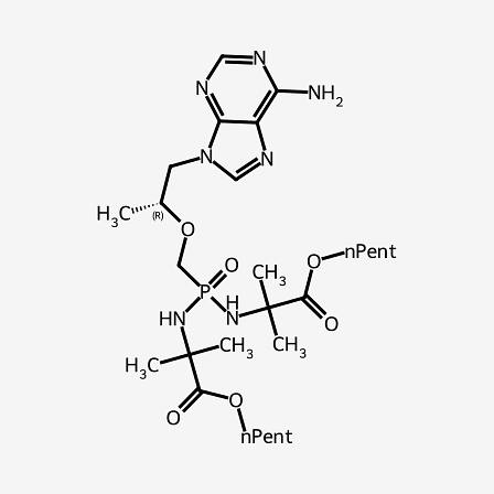 CCCCCOC(=O)C(C)(C)NP(=O)(CO[C@H](C)Cn1cnc2c(N)ncnc21)NC(C)(C)C(=O)OCCCCC